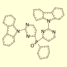 O=P(c1ccccc1)(c1ccnc(-n2c3ccccc3c3ccccc32)n1)c1ccnc(-n2c3ccccc3c3ccccc32)n1